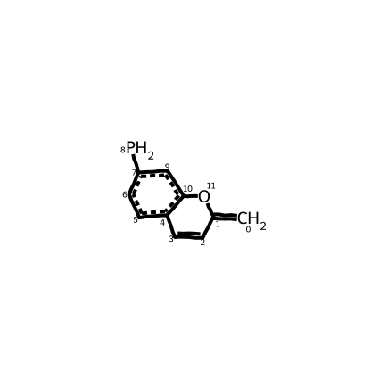 C=C1C=Cc2ccc(P)cc2O1